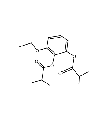 CCOc1cccc(OC(=O)C(C)C)c1OC(=O)C(C)C